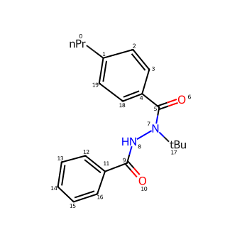 CCCc1ccc(C(=O)N(NC(=O)c2ccccc2)C(C)(C)C)cc1